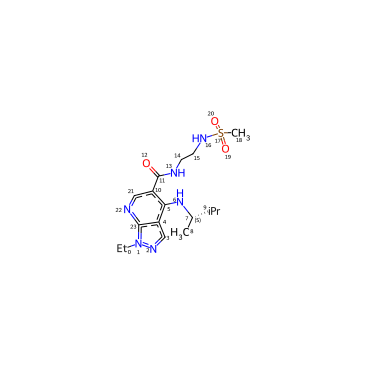 CCn1ncc2c(N[C@@H](C)C(C)C)c(C(=O)NCCNS(C)(=O)=O)cnc21